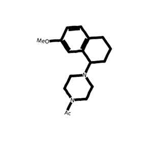 COc1ccc2c(c1)C(N1CCN(C(C)=O)CC1)CCC2